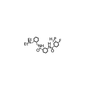 CCN(CC)Cc1ccccc1CNC(=O)c1cccc(NC(=O)c2ccc(F)c(P)c2)c1